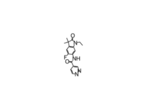 CCN1C(=O)C(C)(C)c2cc(F)c(NC(=O)c3ccnnc3)cc21